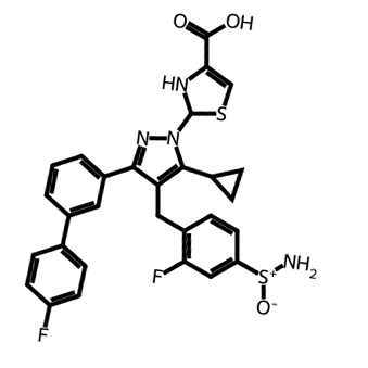 N[S+]([O-])c1ccc(Cc2c(-c3cccc(-c4ccc(F)cc4)c3)nn(C3NC(C(=O)O)=CS3)c2C2CC2)c(F)c1